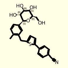 Cc1ccc([C@@H]2O[C@H](CO)[C@@H](O)[C@H](O)[C@H]2O)cc1Cc1ccc(-c2ccc(C#N)cc2)s1